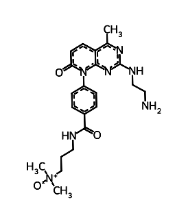 Cc1nc(NCCN)nc2c1ccc(=O)n2-c1ccc(C(=O)NCCC[N+](C)(C)[O-])cc1